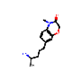 CCCC(N)CCCc1ccc2c(c1)OCC(=O)N2C